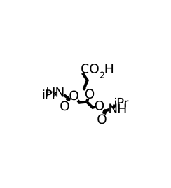 CC(C)NC(=O)OCC(COC(=O)NC(C)C)OCCCC(=O)O